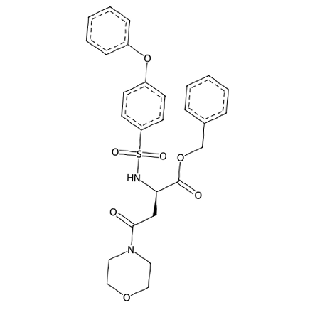 O=C(OCc1ccccc1)[C@@H](CC(=O)N1CCOCC1)NS(=O)(=O)c1ccc(Oc2ccccc2)cc1